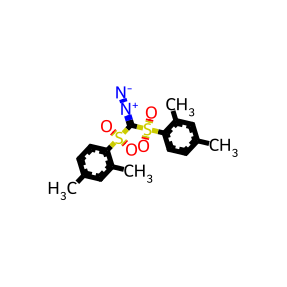 Cc1ccc(S(=O)(=O)C(=[N+]=[N-])S(=O)(=O)c2ccc(C)cc2C)c(C)c1